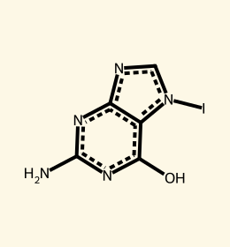 Nc1nc(O)c2c(ncn2I)n1